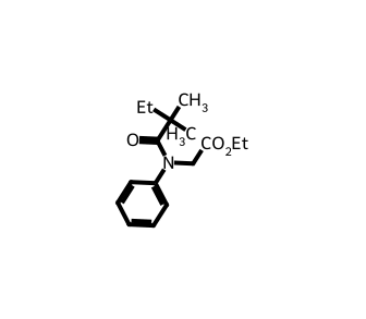 CCOC(=O)CN(C(=O)C(C)(C)CC)c1ccccc1